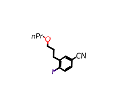 CCCOCCCc1cc(C#N)ccc1I